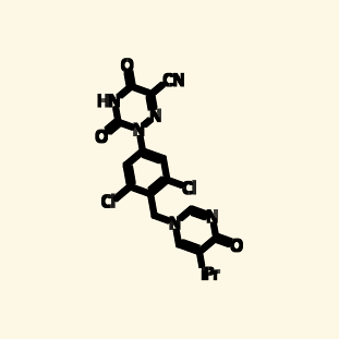 CC(C)c1cn(Cc2c(Cl)cc(-n3nc(C#N)c(=O)[nH]c3=O)cc2Cl)cnc1=O